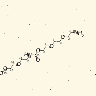 NCCOCCOCCOC(=O)NCCOCCOCl